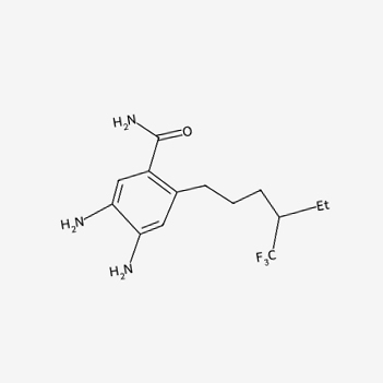 CCC(CCCc1cc(N)c(N)cc1C(N)=O)C(F)(F)F